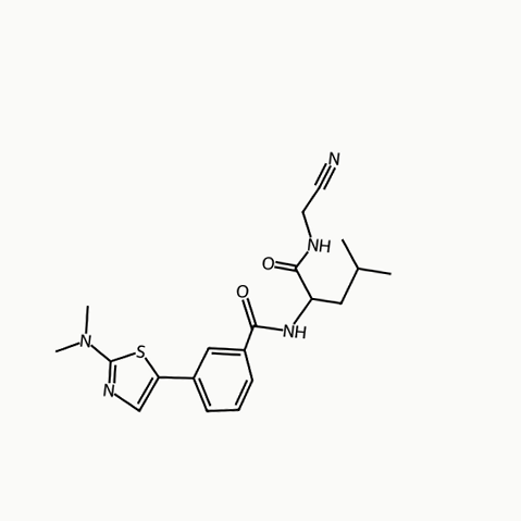 CC(C)CC(NC(=O)c1cccc(-c2cnc(N(C)C)s2)c1)C(=O)NCC#N